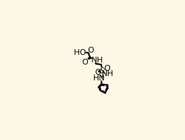 O=C(O)C(=O)NCCS(=O)(=O)NNc1ccccc1